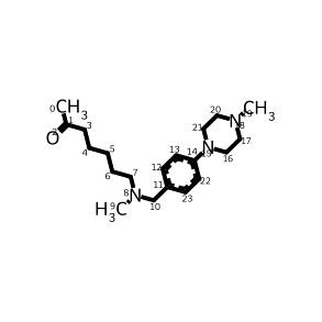 CC(=O)CCCCCN(C)Cc1ccc(N2CCN(C)CC2)cc1